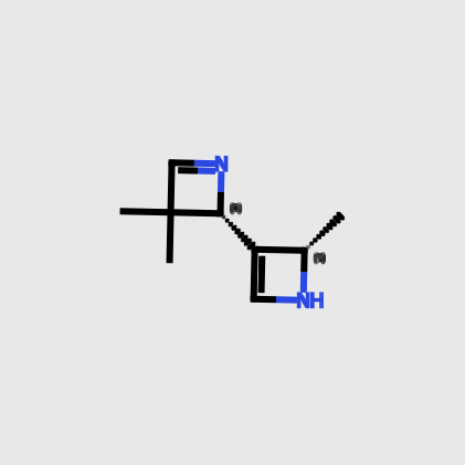 C[C@@H]1NC=C1[C@H]1N=CC1(C)C